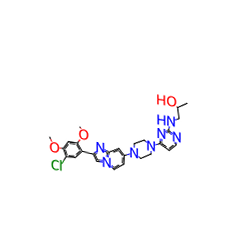 COc1cc(OC)c(-c2cn3ccc(N4CCN(c5ccnc(NCC(C)O)n5)CC4)cc3n2)cc1Cl